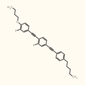 CCCCCc1ccc(C#Cc2ccc(C#Cc3ccc(OCCCC)c(F)c3)c(F)c2)cc1